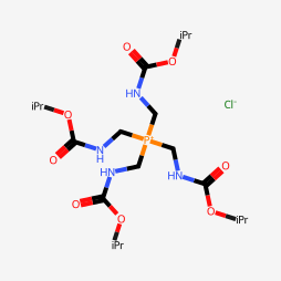 CC(C)OC(=O)NC[P+](CNC(=O)OC(C)C)(CNC(=O)OC(C)C)CNC(=O)OC(C)C.[Cl-]